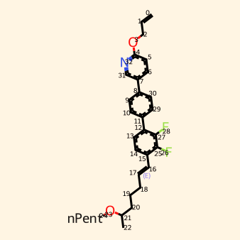 C=CCOc1ccc(-c2ccc(-c3ccc(/C=C/CCCC(C)OCCCCC)c(F)c3F)cc2)cn1